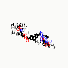 CC[C@H](CC(=O)OCC(=O)c1ccc2c(c1)CCc1cc(-c3cnc([C@@H]4CCCN4C(=O)[C@@H](NC(=O)OC)C(C)C)[nH]3)ccc1-2)CC(C)N(C)C(=O)OC(C)(C)C